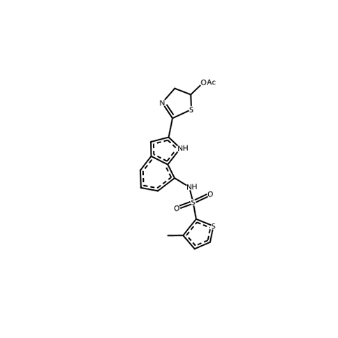 CC(=O)OC1CN=C(c2cc3cccc(NS(=O)(=O)c4sccc4C)c3[nH]2)S1